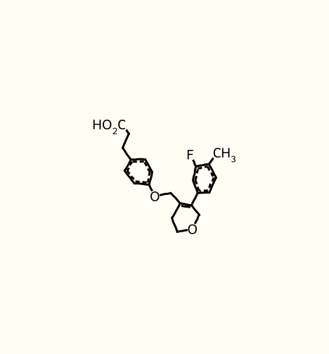 Cc1ccc(C2=C(COc3ccc(CCC(=O)O)cc3)CCOC2)cc1F